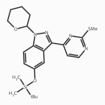 CSc1nccc(-c2nn(C3CCCCO3)c3ccc(O[Si](C)(C)C(C)(C)C)cc23)n1